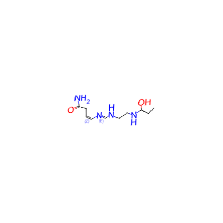 CCC(O)NCCN/C=N/C=C\CC(N)=O